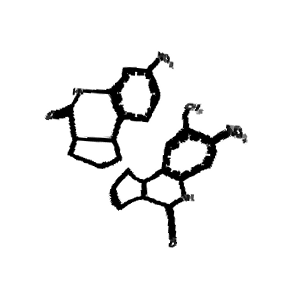 Cc1cc2c(cc1[N+](=O)[O-])NC(=O)C1CCCC21.O=C1Nc2cc([N+](=O)[O-])ccc2C2CCCC12